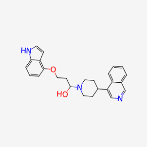 OC(CCOc1cccc2[nH]ccc12)N1CCC(c2cncc3ccccc23)CC1